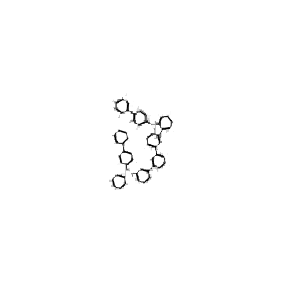 c1ccc(-c2ccc(N(c3ccccc3)c3cccc(-c4cccc(-c5ccc6c(c5)c5ccccc5n6-c5ccc(-c6ccccc6)cc5)c4)c3)cc2)cc1